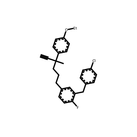 C#CC(C)(CCCc1ccc(F)c(Cc2ccc(Cl)cc2)c1)c1ccc(OCC)cc1